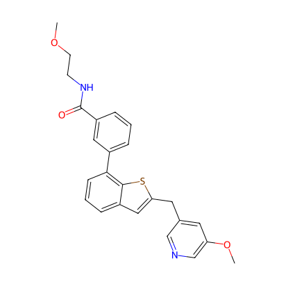 COCCNC(=O)c1cccc(-c2cccc3cc(Cc4cncc(OC)c4)sc23)c1